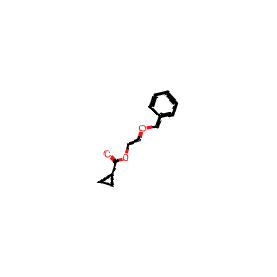 O=C(OCCOCc1ccccc1)C1CC1